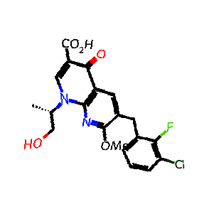 COc1nc2c(cc1Cc1cccc(Cl)c1F)c(=O)c(C(=O)O)cn2[C@@H](C)CO